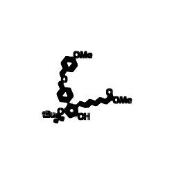 COC(=O)CCCC=CC[C@@H]1[C@@H](c2ccc(COCc3ccc(OC)cc3)cc2)[C@H](O[Si](C)(C)C(C)(C)C)C[C@@H]1O